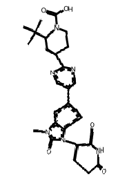 Cn1c(=O)n(C2CCC(=O)NC2=O)c2ccc(-c3cnc(C4CCN(C(=O)O)C(C(C)(C)C)C4)nc3)cc21